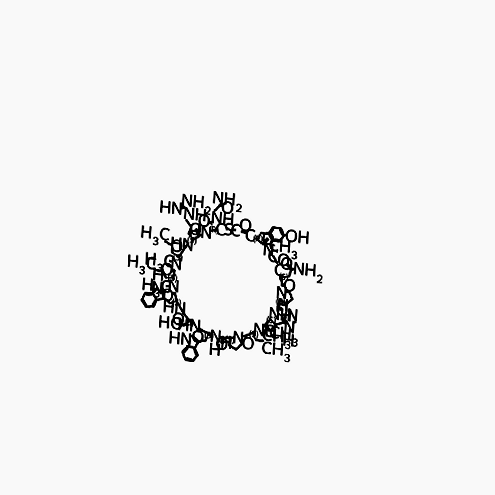 CCCC[C@H]1C(=O)N(C)[C@@H](CCCC)C(=O)N[C@@H](CCCNC(=N)N)C(=O)N[C@H](C(=O)NCC(N)=O)CSCC(=O)C[C@@H](Cc2ccc(O)cc2)C(=O)N(C)CC(=O)C[C@@H](CC(N)=O)C(=O)N2CCC[C@H]2C(=O)N[C@@H](C(C)c2cnc[nH]2)C(=O)N[C@@H](CC(C)C)C(=O)N2CCC[C@H]2C(=O)N[C@@H](Cc2c[nH]c3ccccc23)C(=O)N[C@@H](CO)C(=O)N[C@@H](Cc2c[nH]c3ccccc23)C(=O)N1C